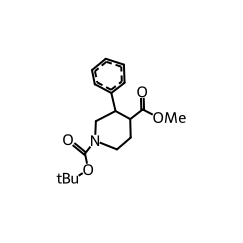 COC(=O)C1CCN(C(=O)OC(C)(C)C)CC1c1ccccc1